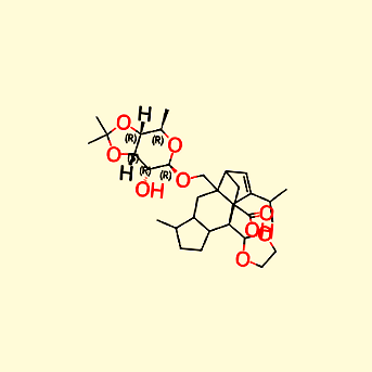 CC(C)C1=CC2CC3(C4OCCO4)C4CCC(C)C4CC2(CO[C@@H]2O[C@H](C)[C@H]4OC(C)(C)O[C@H]4[C@H]2O)C13C(=O)O